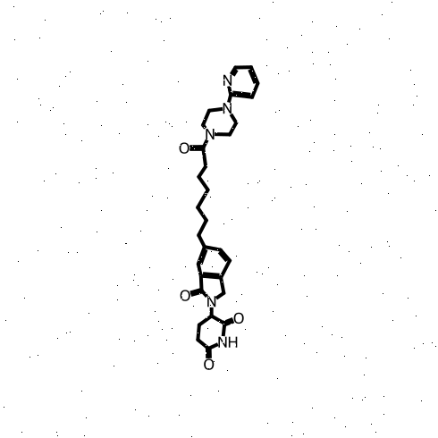 O=C1CCC(N2Cc3ccc(CCCCCCC(=O)N4CCN(c5ccccn5)CC4)cc3C2=O)C(=O)N1